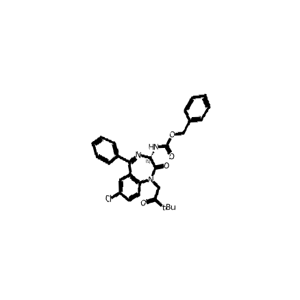 CC(C)(C)C(=O)CN1C(=O)[C@@H](NC(=O)OCc2ccccc2)N=C(c2ccccc2)c2cc(Cl)ccc21